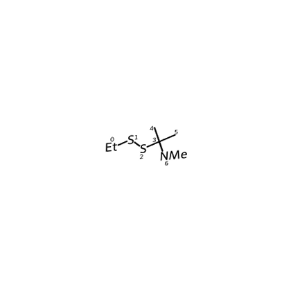 CCSSC(C)(C)NC